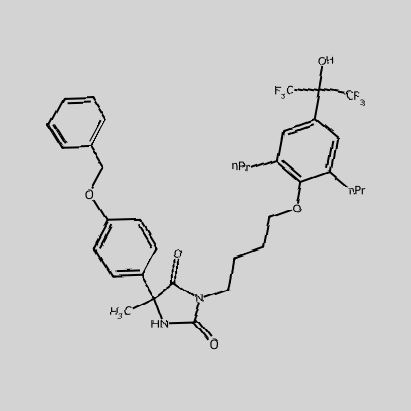 CCCc1cc(C(O)(C(F)(F)F)C(F)(F)F)cc(CCC)c1OCCCCN1C(=O)NC(C)(c2ccc(OCc3ccccc3)cc2)C1=O